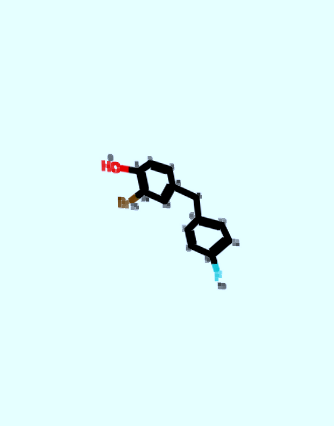 Oc1ccc(Cc2ccc(F)cc2)cc1Br